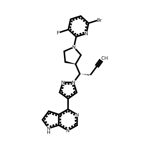 C#CC[C@@H]([C@H]1CCN(c2nc(Br)ccc2F)C1)n1cc(-c2ncnc3[nH]ccc23)cn1